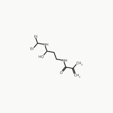 C=C(C)C(=O)NCCC(O)NC(CC)CC